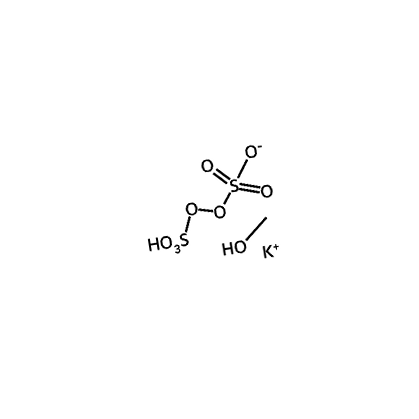 CO.O=S(=O)([O-])OOS(=O)(=O)O.[K+]